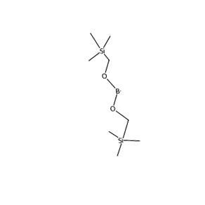 C[Si](C)(C)CO[B]OC[Si](C)(C)C